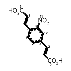 O=C(O)C=Cc1ccc(C=CC(=O)O)c([N+](=O)[O-])c1